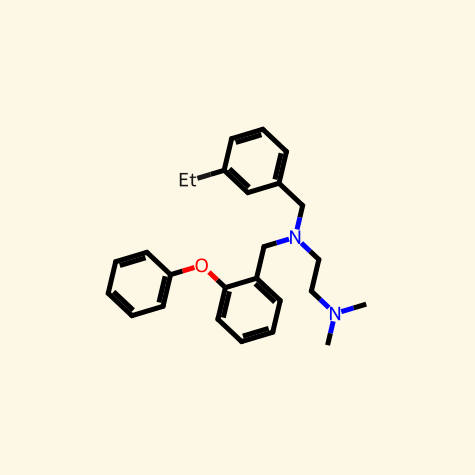 CCc1cccc(CN(CCN(C)C)Cc2ccccc2Oc2ccccc2)c1